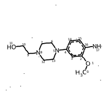 COc1cc(N2CCN(CCO)CC2)ccc1[NH]